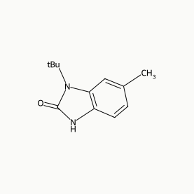 Cc1ccc2[nH]c(=O)n(C(C)(C)C)c2c1